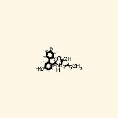 CSCC[C@H](NC(=O)c1ccc(O)cc1-c1ccc(F)cc1)C(=O)O